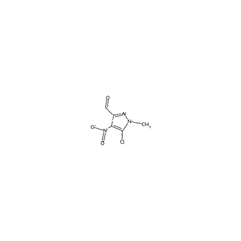 Cn1nc(C=O)c([N+](=O)[O-])c1Cl